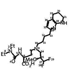 CCN(CC)C(=O)NC(CCN(CCCCc1ccc2c(n1)NCCC2)CC(OC)C(F)F)C(=O)O